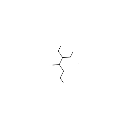 CCCC(O)C(CC)CO.P